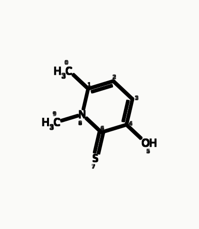 Cc1ccc(O)c(=S)n1C